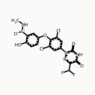 CN[S+]([O-])c1cc(Oc2c(Cl)cc(-n3nc(C(F)F)c(=O)[nH]c3=O)cc2Cl)ccc1O